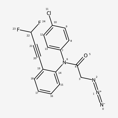 [N-]=[N+]=NCC(=O)N(c1ccc(Cl)cc1)c1ccccc1C#CC(F)F